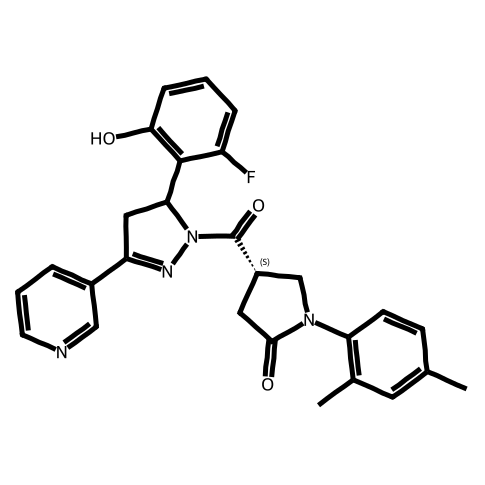 Cc1ccc(N2C[C@@H](C(=O)N3N=C(c4cccnc4)CC3c3c(O)cccc3F)CC2=O)c(C)c1